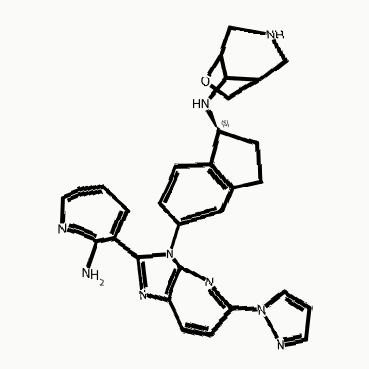 Nc1ncccc1-c1nc2ccc(-n3cccn3)nc2n1-c1ccc2c(c1)CC[C@@H]2NC1C2CNCC1OC2